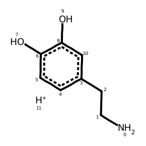 NCCc1ccc(O)c(O)c1.[H+]